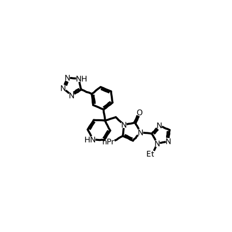 CCCc1cn(-c2ncnn2CC)c(=O)n1CC1(c2cccc(-c3nnn[nH]3)c2)C=CNC=C1